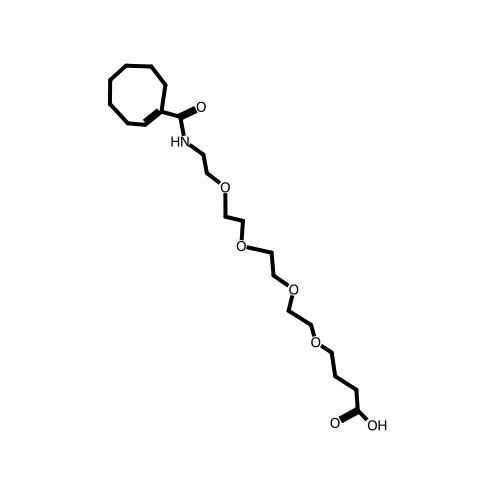 O=C(O)CCCOCCOCCOCCOCCNC(=O)C1=CCCCCCC1